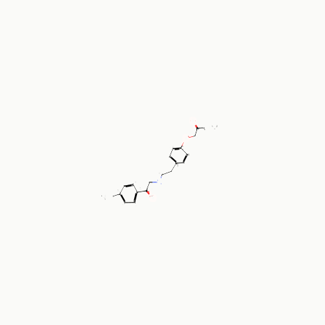 COC(=O)COc1ccc(CCNCC(=O)c2ccc(C#N)cc2)cc1